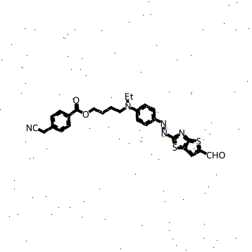 CCN(CCCCOC(=O)c1ccc(CC#N)cc1)c1ccc(/N=N/c2nc3sc(C=O)cc3s2)cc1